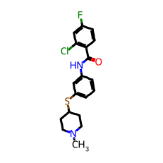 CN1CCC(Sc2cccc(NC(=O)c3ccc(F)cc3Cl)c2)CC1